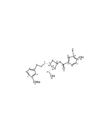 COc1cccc(CCC[C@@H]2CN(CC(=O)c3ccc(O)c(F)n3)C[C@@H]2CO)c1